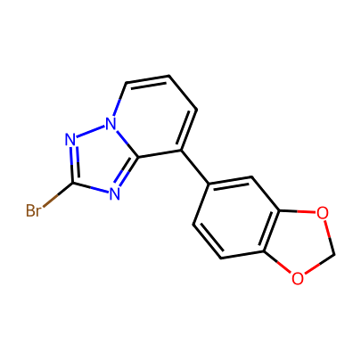 Brc1nc2c(-c3ccc4c(c3)OCO4)cccn2n1